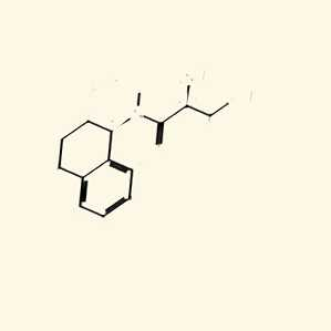 CN(C(=O)[C@@H](N)CO)[C@@H]1CCCc2ccccc21.Cl